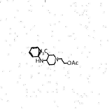 CC(=O)OCCN1CCC(Nc2ccccc2)C(C)C1